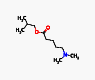 CC(C)COC(=O)CCCCN(C)C